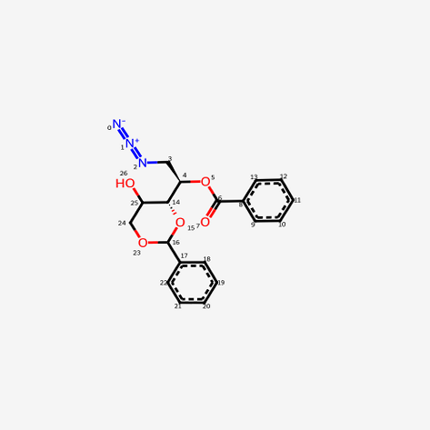 [N-]=[N+]=NC[C@@H](OC(=O)c1ccccc1)[C@@H]1OC(c2ccccc2)OCC1O